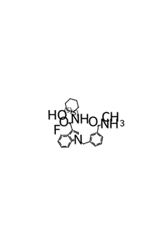 CNC(=O)c1cccc(Cn2cc(C(=O)N[C@H]3CCCC[C@@H]3O)c3c(F)cccc32)c1